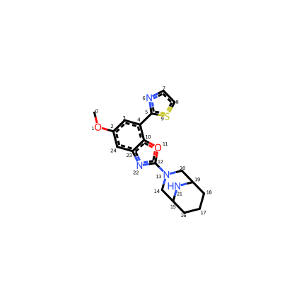 COc1cc(-c2nccs2)c2oc(N3CC4CCCC(C3)N4)nc2c1